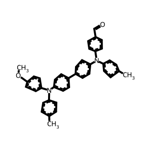 COc1ccc(N(c2ccc(C)cc2)c2ccc(-c3ccc(N(c4ccc(C)cc4)c4ccc(C=O)cc4)cc3)cc2)cc1